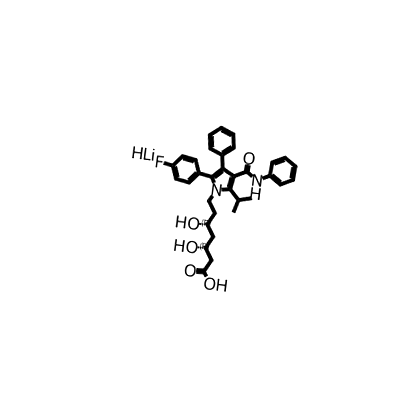 CC(C)c1c(C(=O)Nc2ccccc2)c(-c2ccccc2)c(-c2ccc(F)cc2)n1CC[C@@H](O)C[C@@H](O)CC(=O)O.[LiH]